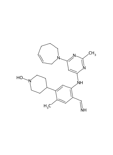 Cc1nc(Nc2cc(C3CCN(O)CC3)c(C)cc2C=N)cc(N2CC=CCCC2)n1